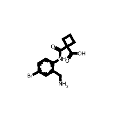 NCc1cc(Br)ccc1NC(=O)C1(C(=O)O)CCC1